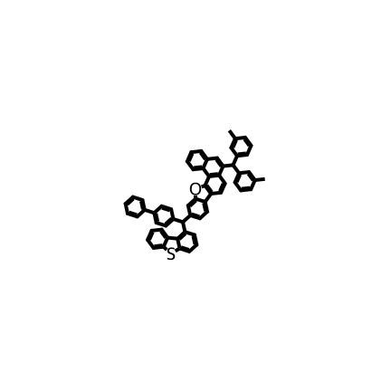 Cc1cccc(C(c2cccc(C)c2)c2cc3ccccc3c3c2ccc2c4ccc(C(c5ccc(-c6ccccc6)cc5)c5cccc6sc7ccccc7c56)cc4oc23)c1